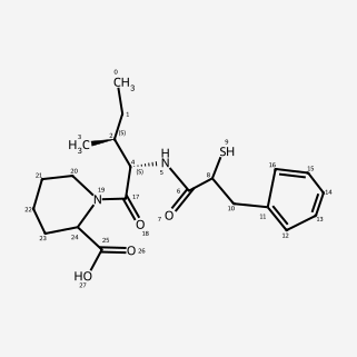 CC[C@H](C)[C@H](NC(=O)C(S)Cc1ccccc1)C(=O)N1CCCCC1C(=O)O